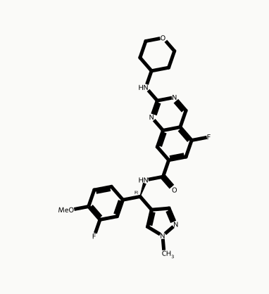 COc1ccc([C@@H](NC(=O)c2cc(F)c3cnc(NC4CCOCC4)nc3c2)c2cnn(C)c2)cc1F